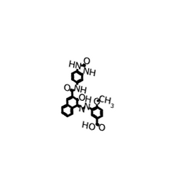 COc1ccc(C(=O)O)cc1N/N=C1\C(=O)C(C(=O)Nc2ccc3[nH]c(=O)[nH]c3c2)=Cc2ccccc21